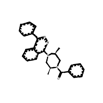 C[C@H]1CN(c2nnc(-c3ccccc3)c3ccccc23)[C@@H](C)CN1C(=O)c1ccccc1